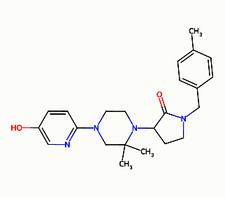 Cc1ccc(CN2CCC(N3CCN(c4ccc(O)cn4)CC3(C)C)C2=O)cc1